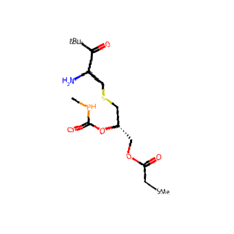 CPC(=O)O[C@@H](COC(=O)CSC)CSCC(N)C(=O)C(C)(C)C